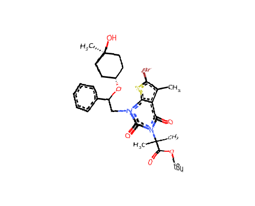 Cc1c(Br)sc2c1c(=O)n(C(C)(C)C(=O)OC(C)(C)C)c(=O)n2CC(O[C@H]1CC[C@](C)(O)CC1)c1ccccc1